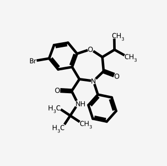 CC(C)C1Oc2ccc(Br)cc2C(C(=O)NC(C)(C)C)N(c2ccccc2)C1=O